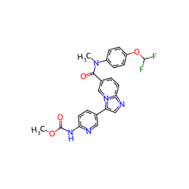 COC(=O)Nc1ccc(-c2cnc3ccc(C(=O)N(C)c4ccc(OC(F)F)cc4)cn23)cn1